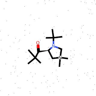 CC(C)(C)C(=O)[C@@H]1C[Si](C)(C)CN1C(C)(C)C